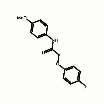 COc1ccc(NC(=O)COc2ccc(F)cc2)cc1